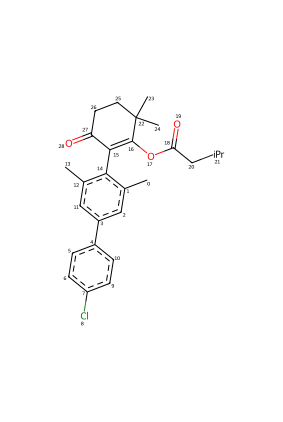 Cc1cc(-c2ccc(Cl)cc2)cc(C)c1C1=C(OC(=O)CC(C)C)C(C)(C)CCC1=O